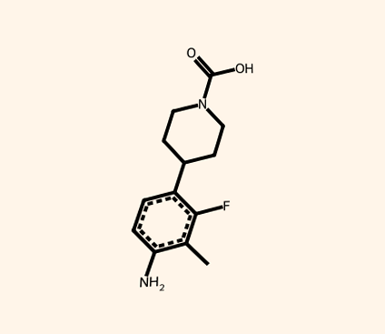 Cc1c(N)ccc(C2CCN(C(=O)O)CC2)c1F